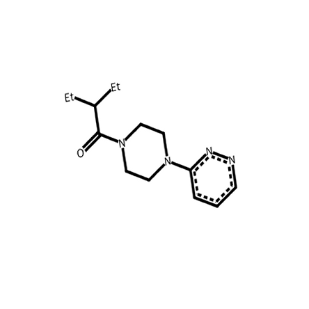 CCC(CC)C(=O)N1CCN(c2cccnn2)CC1